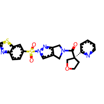 O=C(N1Cc2cn(S(=O)(=O)c3ccc4ncsc4c3)nc2C1)[C@@]1(c2ccccn2)CCOC1